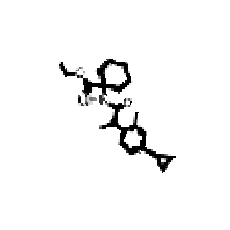 CCOC(=O)C1(NC(=O)C(C)c2ccc(C3CC3)cc2C)CCCCC1